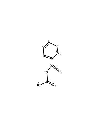 O=C(O)[N]C(=O)c1ccccn1